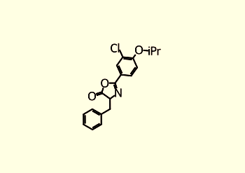 CC(C)Oc1ccc(C2=NC(Cc3ccccc3)C(=O)O2)cc1Cl